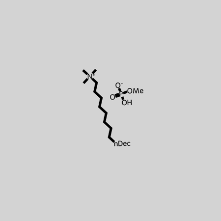 CCCCCCCCCCCCCCCCCC[N+](C)(C)C.COP(=O)([O-])O